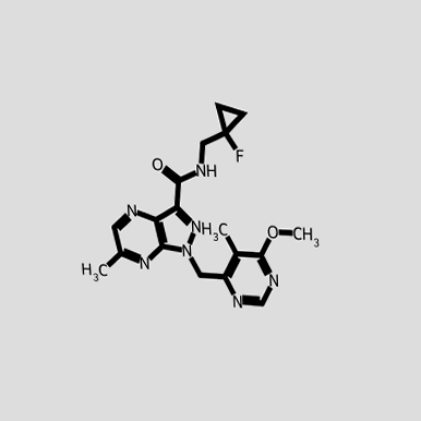 COc1ncnc(Cn2nc(C(=O)NCC3(F)CC3)c3ncc(C)nc32)c1C